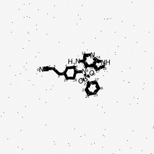 N#CCCC1CCC(N(c2c(N)cnc3[nH]ccc23)S(=O)(=O)c2ccccc2)CC1